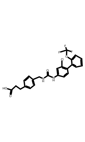 O=C(O)CCc1ccc(CNC(=O)Nc2ccc(-c3ccccc3OC(F)(F)F)c(Cl)c2)cc1